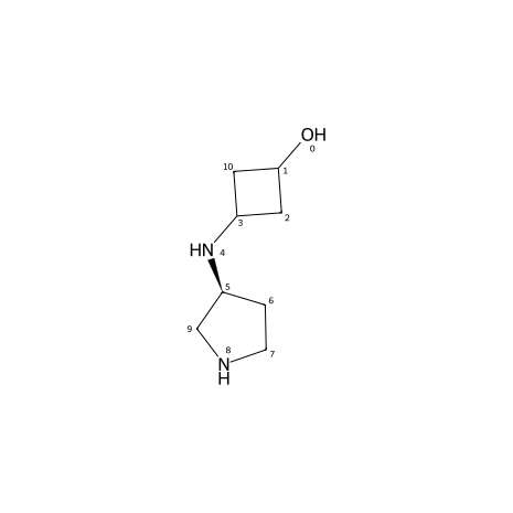 OC1CC(N[C@H]2CCNC2)C1